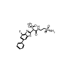 CCCS(=O)(=O)C(C(=O)NCCS(N)(=O)=O)c1nc2c(F)cc(-c3ccccc3)cc2s1